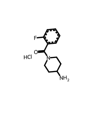 Cl.NC1CCN(C(=O)c2ccccc2F)CC1